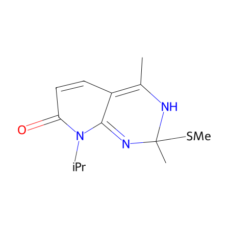 CSC1(C)N=c2c(ccc(=O)n2C(C)C)=C(C)N1